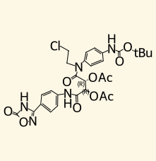 CC(=O)O[C@@H](C(=O)Nc1ccc(-c2noc(=O)[nH]2)cc1)[C@@H](OC(C)=O)C(=O)N(CCCl)c1ccc(NC(=O)OC(C)(C)C)cc1